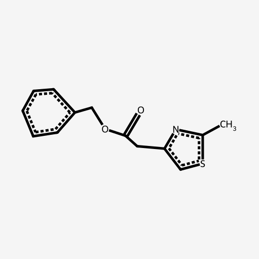 Cc1nc(CC(=O)OCc2ccccc2)cs1